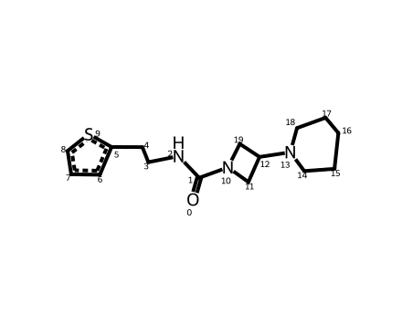 O=C(NCCc1cccs1)N1CC(N2CCCCC2)C1